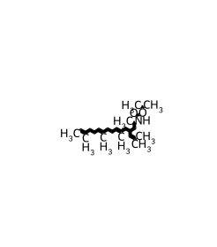 C/C=C(\C)CC/C=C(\C)CC/C=C(\C)CC(C=C(C)C)CC(C)NC(=O)OC(C)C